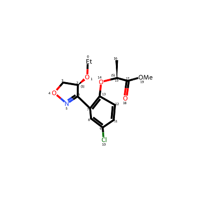 CCO[C@@H]1CON=C1c1cc(Cl)ccc1O[C@@H](C)C(=O)OC